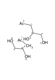 CC(=O)CC(O)CO.CC(C)=O.OCCO